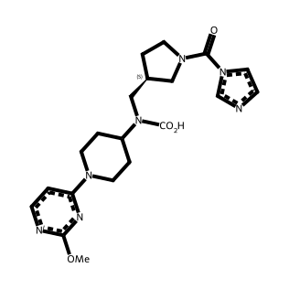 COc1nccc(N2CCC(N(C[C@H]3CCN(C(=O)n4ccnc4)C3)C(=O)O)CC2)n1